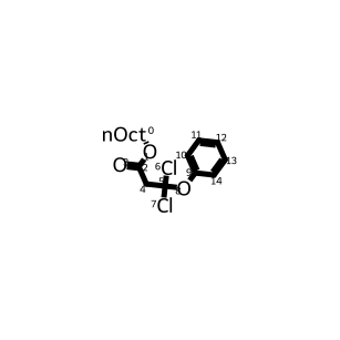 CCCCCCCCOC(=O)CC(Cl)(Cl)Oc1ccccc1